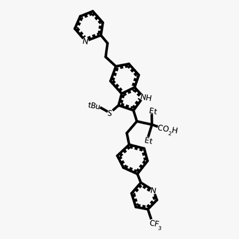 CCC(CC)(C(=O)O)C(Cc1ccc(-c2ccc(C(F)(F)F)cn2)cc1)c1[nH]c2ccc(CCc3ccccn3)cc2c1SC(C)(C)C